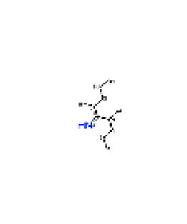 CCCC(C)C(=N)C(C)CCC